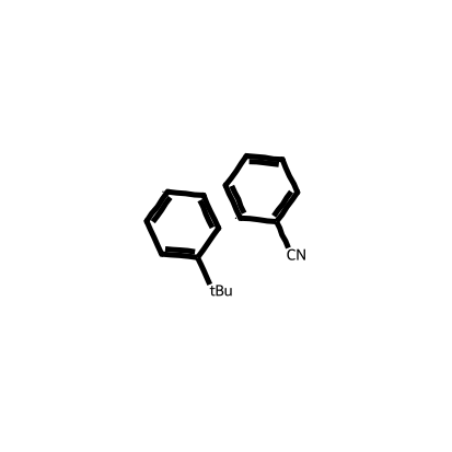 CC(C)(C)c1cc[c]cc1.N#Cc1[c]cccc1